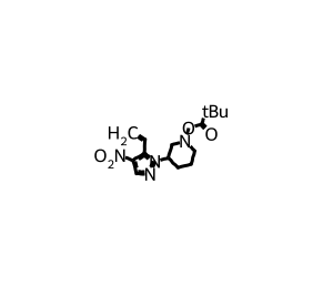 C=Cc1c([N+](=O)[O-])cnn1C1CCCN(OC(=O)C(C)(C)C)C1